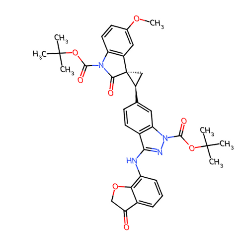 COc1ccc2c(c1)[C@]1(C[C@H]1c1ccc3c(Nc4cccc5c4OCC5=O)nn(C(=O)OC(C)(C)C)c3c1)C(=O)N2C(=O)OC(C)(C)C